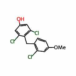 COc1ccc(Cc2c(Cl)cc(O)cc2Cl)c(Cl)c1